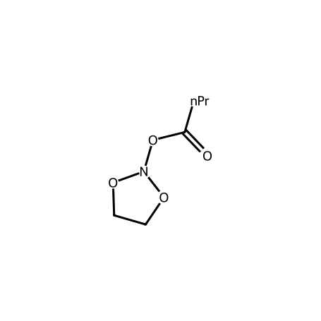 CCCC(=O)ON1OCCO1